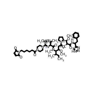 CCC(C)C(C(CC(=O)N1CCC[C@H]1C(OC)C(C)C(=O)NC(Cc1ccccc1)c1nn[nH]n1)OC)N(C)C(=O)C(/N=C(\N(C)C)N1CCN(C(=O)CCCCCN2C(=O)C=CC2=O)CC1)C(C)C